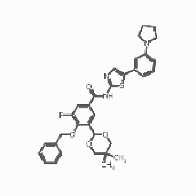 CC1(C)COC(c2cc(C(=O)Nc3ncc(-c4cccc(N5CCCC5)c4)s3)cc(F)c2OCc2ccccc2)OC1